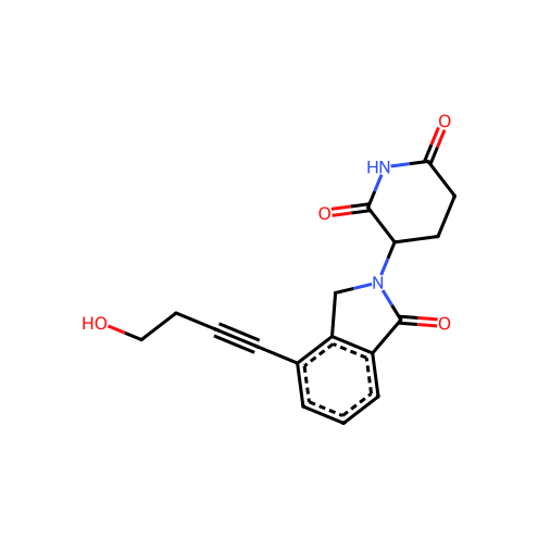 O=C1CCC(N2Cc3c(C#CCCO)cccc3C2=O)C(=O)N1